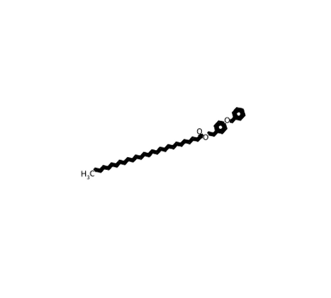 CCCCCCCCCCCCCCCCCCCCCCCCCCCC(=O)OCCc1ccc(OCc2ccccc2)cc1